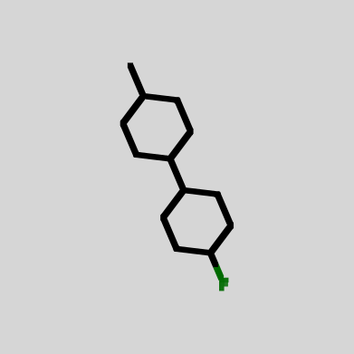 CC1CCC(C2CCC(F)CC2)CC1